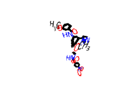 COc1cccc(C(=O)Nc2ccc(OCCNC(=O)Oc3ccc([N+](=O)[O-])cc3)c(-c3ccnn3C)c2)c1